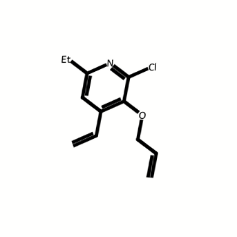 C=CCOc1c(C=C)cc(CC)nc1Cl